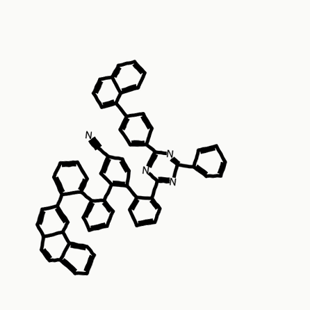 N#Cc1ccc(-c2ccccc2-c2nc(-c3ccccc3)nc(-c3ccc(-c4cccc5ccccc45)cc3)n2)c(-c2ccccc2-c2ccccc2C2=CC3c4ccccc4C=CC3C=C2)c1